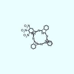 O=[N+]([O-])c1cc2c3nc4nc(nc5c6ccccc6c(nc6nc(nc([nH]3)c2c([N+](=O)[O-])c1[N+](=O)[O-])-c1ccccc1-6)n5[N+](=O)[O-])-c1ccccc1-4